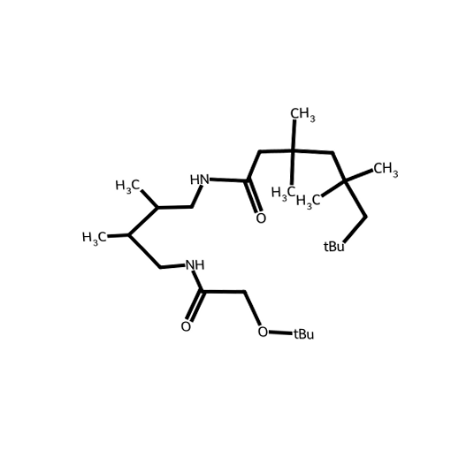 CC(CNC(=O)COC(C)(C)C)C(C)CNC(=O)CC(C)(C)CC(C)(C)CC(C)(C)C